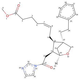 COC(=O)CCC/C=C\C[C@@H]1[C@H](CC(=O)n2ccnc2)[C@H]2C[C@]1(CCc1ccccc1)CO2